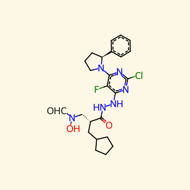 O=CN(O)C[C@@H](CC1CCCC1)C(=O)NNc1nc(Cl)nc(N2CCC[C@H]2c2ccccc2)c1F